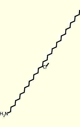 CCCCCCCCCCCCCCCCCCCCCCCCCCCCCCCCN.CCl